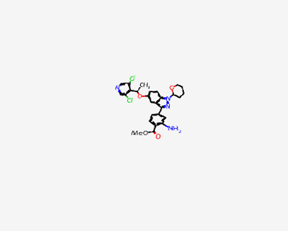 COC(=O)c1ccc(-c2nn(C3CCCCO3)c3ccc(O[C@H](C)c4c(Cl)cncc4Cl)cc23)cc1N